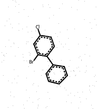 Clc1ccc(-c2ccccc2)c(Br)c1